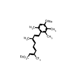 CCOC(=O)C=C(C=CC=C(C)C=Cc1c(C)cc(OC)c(C)c1C)C(F)(F)F